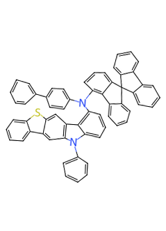 c1ccc(-c2ccc(N(c3cccc4c3-c3ccccc3C43c4ccccc4-c4ccccc43)c3cccc4c3c3cc5sc6ccccc6c5cc3n4-c3ccccc3)cc2)cc1